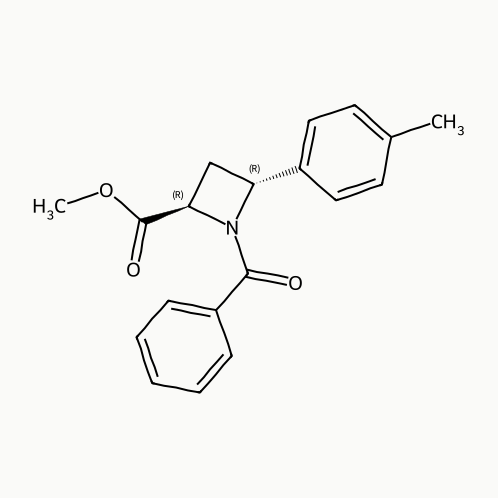 COC(=O)[C@H]1C[C@H](c2ccc(C)cc2)N1C(=O)c1ccccc1